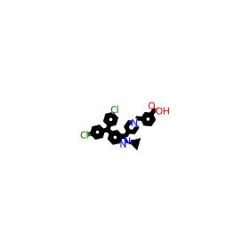 O=C(O)c1cccc(CN2CCC(c3c4cc(C(c5ccc(Cl)cc5)c5ccc(Cl)cc5)ccc4nn3C3CC3)CC2)c1